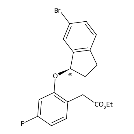 CCOC(=O)Cc1ccc(F)cc1O[C@@H]1CCc2ccc(Br)cc21